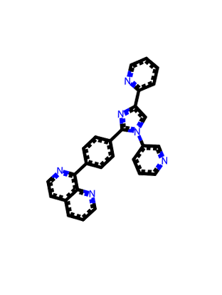 c1ccc(-c2cn(-c3cccnc3)c(-c3ccc(-c4nccc5cccnc45)cc3)n2)nc1